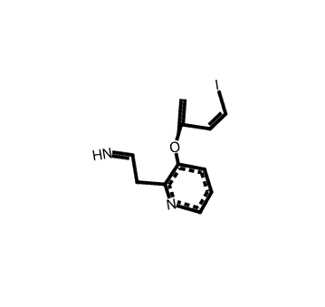 C=C(/C=C\I)Oc1cccnc1CC=N